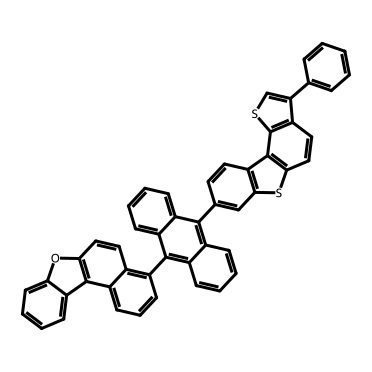 c1ccc(-c2csc3c2ccc2sc4cc(-c5c6ccccc6c(-c6cccc7c6ccc6oc8ccccc8c67)c6ccccc56)ccc4c23)cc1